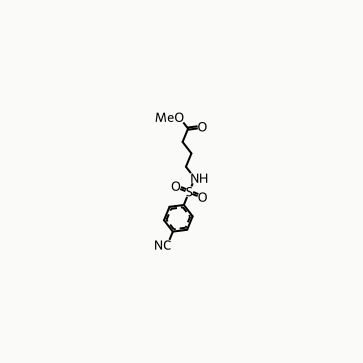 COC(=O)CCCNS(=O)(=O)c1ccc(C#N)cc1